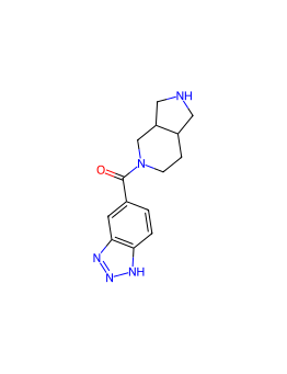 O=C(c1ccc2[nH]nnc2c1)N1CCC2CNCC2C1